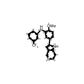 COc1ccc(-c2cc3cnccc3[nH]2)cc1Nc1cccc(C(F)(F)F)c1